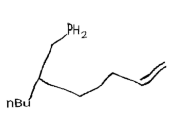 C=CCCC(CP)CCCC